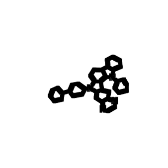 c1ccc(-c2ccc(-n3c4cc5nccnc5cc4c4c3ccc3c5ccccc5n(-c5ccccc5)c34)cc2)cc1